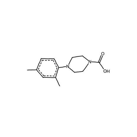 Cc1ccc(N2CCN(C(=O)O)CC2)c(C)c1